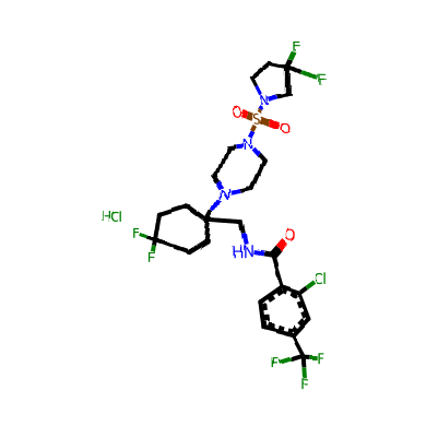 Cl.O=C(NCC1(N2CCN(S(=O)(=O)N3CCC(F)(F)C3)CC2)CCC(F)(F)CC1)c1ccc(C(F)(F)F)cc1Cl